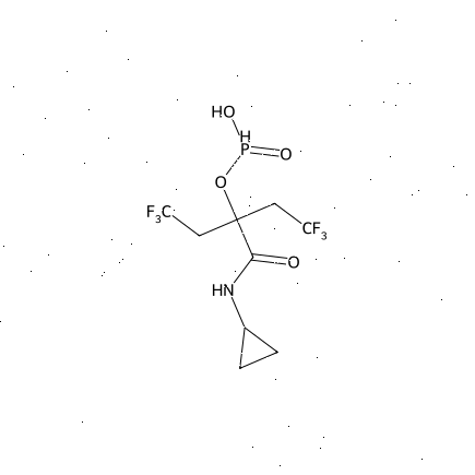 O=C(NC1CC1)C(CC(F)(F)F)(CC(F)(F)F)O[PH](=O)O